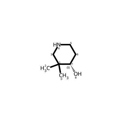 CC1(C)CNCC[C@@H]1O